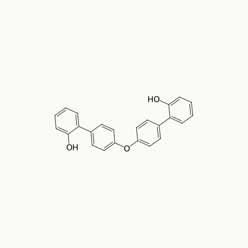 Oc1ccccc1-c1ccc(Oc2ccc(-c3ccccc3O)cc2)cc1